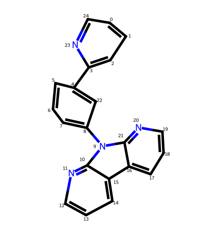 c1ccc(-c2cccc(-n3c4ncccc4c4cccnc43)c2)nc1